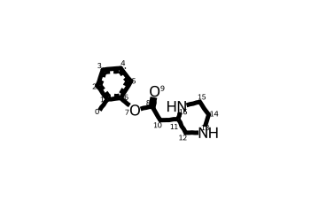 Cc1cc[c]cc1OC(=O)CC1CNCCN1